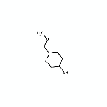 COCC1CCC(N)CO1